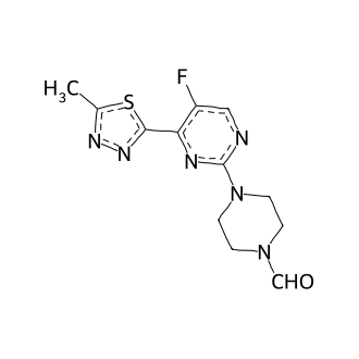 Cc1nnc(-c2nc(N3CCN(C=O)CC3)ncc2F)s1